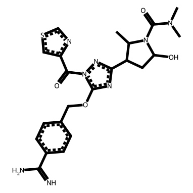 CC1C(c2nc(OCc3ccc(C(=N)N)cc3)n(C(=O)c3cscn3)n2)CC(O)N1C(=O)N(C)C